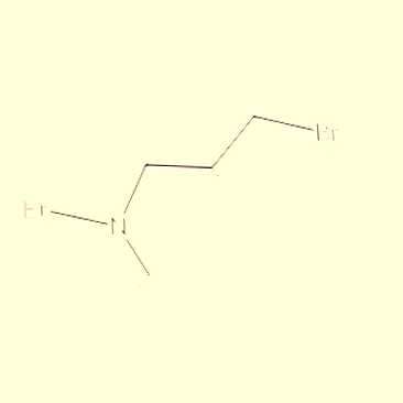 CCN(C)CCCBr